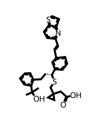 CC(C)(O)c1ccccc1CC[C@@H](SCC1(CC(=O)O)CC1)c1cccc(C=Cc2ccc3sccc3n2)c1